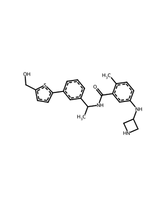 Cc1ccc(NC2CNC2)cc1C(=O)NC(C)c1cccc(-c2ccc(CO)s2)c1